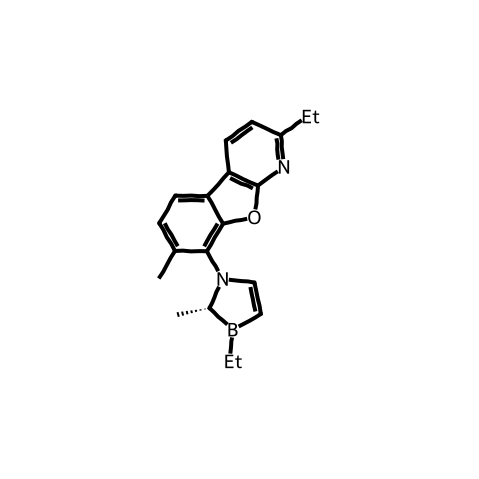 CCB1C=CN(c2c(C)ccc3c2oc2nc(CC)ccc23)[C@H]1C